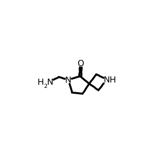 NCN1CCC2(CNC2)C1=O